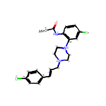 COC(=O)Nc1ccc(Cl)cc1N1CCN(C/C=C/c2ccc(Cl)cc2)CC1